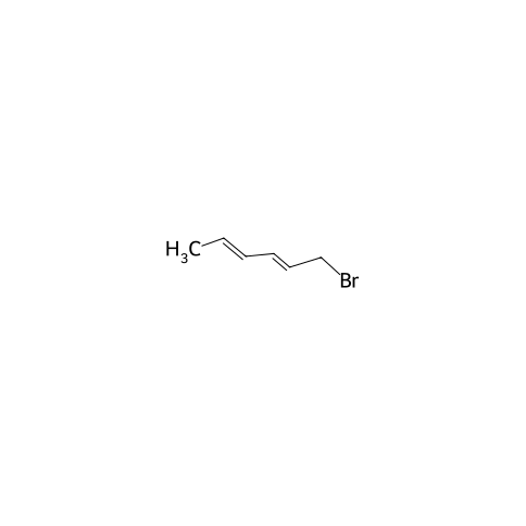 CC=CC=CCBr